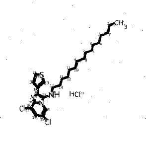 CCCCCCCCCCCCCCCCNc1c(-c2ccsc2)nc2c(Cl)cc(Cl)cn12.Cl